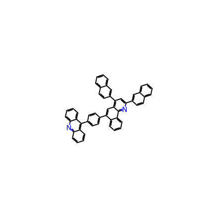 c1ccc2cc(-c3cc(-c4ccc5ccccc5c4)c4cc(-c5ccc(-c6c7ccccc7nc7ccccc67)cc5)c5ccccc5c4n3)ccc2c1